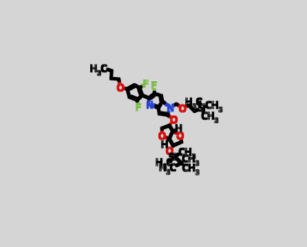 CCCCOc1cc(F)c(-c2nc3cc(O[C@@H]4CO[C@H]5[C@@H]4OC[C@H]5O[Si](C)(C)C(C)(C)C)n(COCC[Si](C)(C)C)c3cc2F)c(F)c1